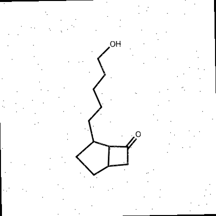 O=C1CC2CCC(CCCCCO)C12